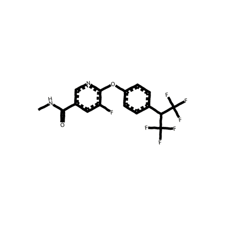 CNC(=O)c1cnc(Oc2ccc(C(C(F)(F)F)C(F)(F)F)cc2)c(F)c1